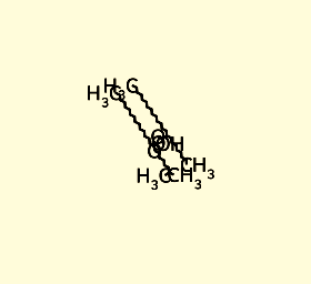 CCCCCCCCCCCCCCC(CCCCCCCC)C(=O)O.CCCCCCCCCCCCCCCC(=O)OCCCCCC(C)C